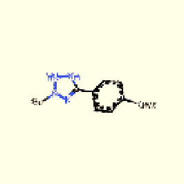 COc1ccc(C2=NN(C(C)(C)C)NN2)cc1